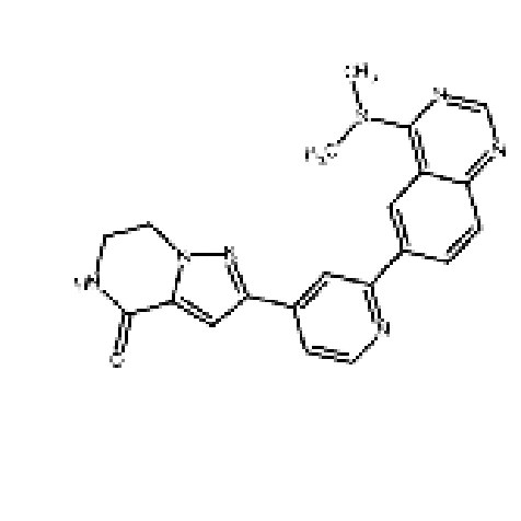 CN(C)c1ncnc2ccc(-c3cc(-c4cc5n(n4)CCNC5=O)ccn3)cc12